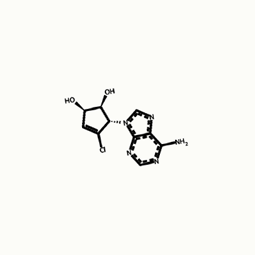 Nc1ncnc2c1ncn2[C@@H]1C(Cl)=C[C@@H](O)[C@H]1O